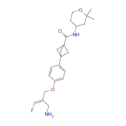 CC1(C)CC(NC(=O)C23CC(c4ccc(OC/C(=C/F)CN)cc4)(C2)C3)CCO1